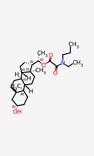 CCCN(CC)C(=O)C(=O)O[C@@H](C)[C@H]1CC[C@H]2[C@@H]3CC=C4C[C@@H](O)CC[C@]4(C)[C@H]3CC[C@]12C